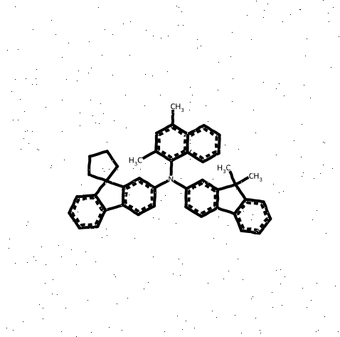 Cc1cc(C)c2ccccc2c1N(c1ccc2c(c1)C(C)(C)c1ccccc1-2)c1ccc2c(c1)C1(CCCC1)c1ccccc1-2